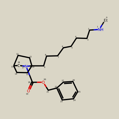 CCNCCCCCCCCC12CCC(CC1)CN2C(=O)OCc1ccccc1